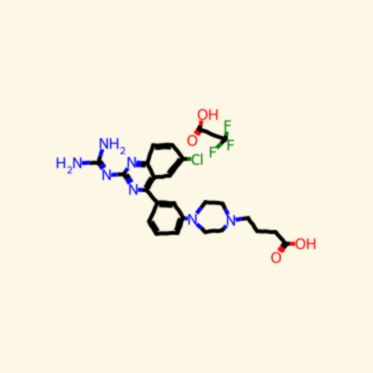 NC(N)=Nc1nc(-c2cccc(N3CCN(CCCC(=O)O)CC3)c2)c2cc(Cl)ccc2n1.O=C(O)C(F)(F)F